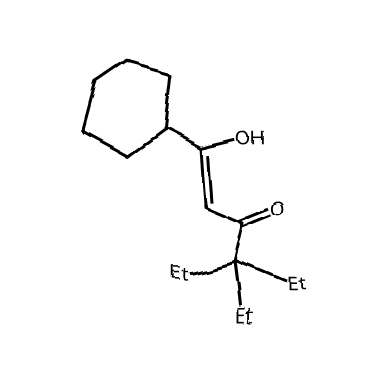 CCC(CC)(CC)C(=O)/C=C(\O)C1CCCCC1